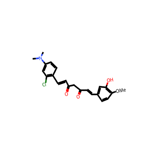 COc1ccc(C=CC(=O)CC(=O)C=Cc2ccc(N(C)C)cc2Cl)cc1O